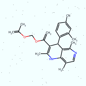 C=C(C)OCOC(=C)C1=C(C)Nc2c(C)cnc(C)c2C1c1ccc(C#N)cc1C